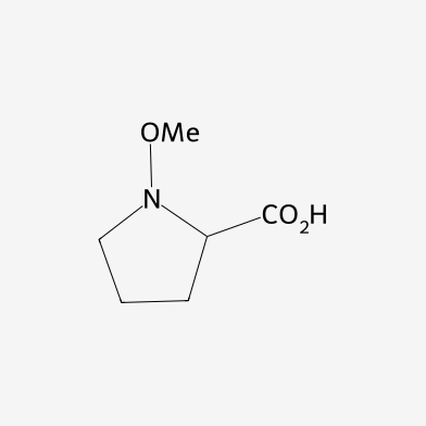 CON1CCCC1C(=O)O